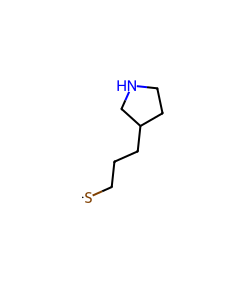 [S]CCCC1CCNC1